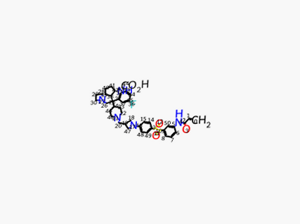 C=CC(=O)Nc1cccc(S(=O)(=O)c2ccc(N3CC(CN4CCC(C(CN5CCC5)(c5cccc(F)c5)[C@H]5CCC[C@@H]5NC(=O)O)CC4)C3)cc2)c1